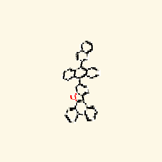 c1ccc2cc(-c3c4ccccc4c(-c4ccc5c(c4)oc4c6ccccc6c6ccccc6c54)c4ccccc34)ccc2c1